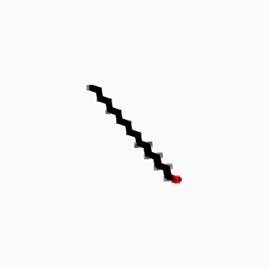 CCCCCCCCCCCC=CC=CC=C[O]